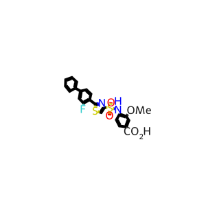 COc1cc(C(=O)O)ccc1NS(=O)(=O)c1csc(-c2ccc(-c3ccccc3)cc2F)n1